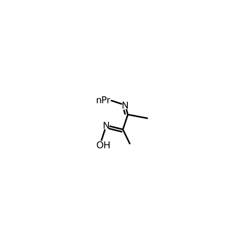 CCCN=C(C)C(C)=NO